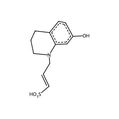 O=S(=O)(O)C=CCN1CCCc2ccc(O)cc21